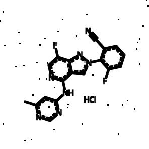 Cc1cc(Nc2ncc(F)c3nn(-c4c(F)cccc4C#N)cc23)ncn1.Cl